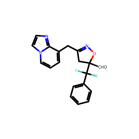 O=CC1(C(F)(F)c2ccccc2)CC(Cc2cccn3ccnc23)=NO1